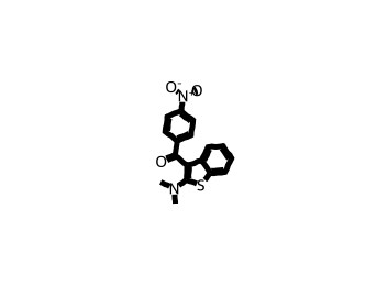 CN(C)c1sc2ccccc2c1C(=O)c1ccc([N+](=O)[O-])cc1